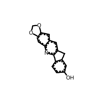 Oc1ccc2c(c1)Cc1cc3cc4c(cc3nc1-2)OCO4